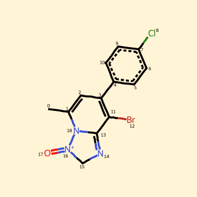 CC1=CC(c2ccc(Cl)cc2)=C(Br)C2=NC[N+](=O)N12